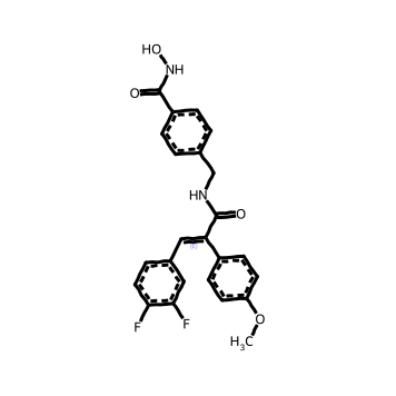 COc1ccc(/C(=C\c2ccc(F)c(F)c2)C(=O)NCc2ccc(C(=O)NO)cc2)cc1